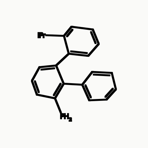 CC(C)c1ccccc1-c1cccc(P)c1-c1ccccc1